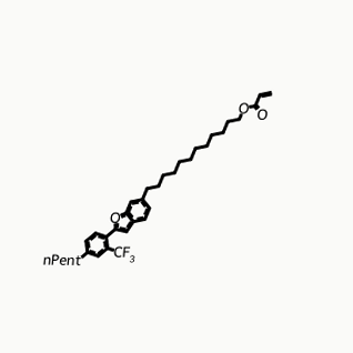 C=CC(=O)OCCCCCCCCCCCCc1ccc2cc(-c3ccc(CCCCC)cc3C(F)(F)F)oc2c1